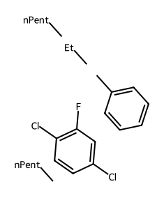 CCC.CCCCCC.CCCCCC.Cc1ccccc1.Fc1cc(Cl)ccc1Cl